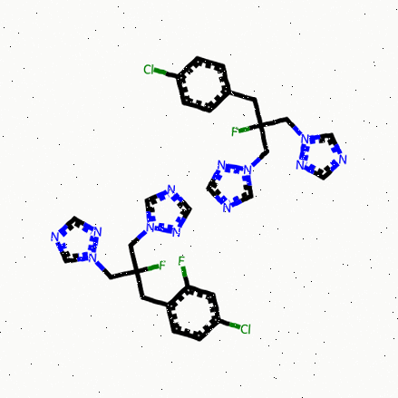 FC(Cc1ccc(Cl)cc1)(Cn1cncn1)Cn1cncn1.Fc1cc(Cl)ccc1CC(F)(Cn1cncn1)Cn1cncn1